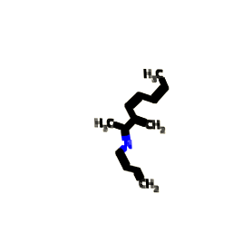 C=C/C=C\N=C(/C)C(=C)/C=C\C=C/C